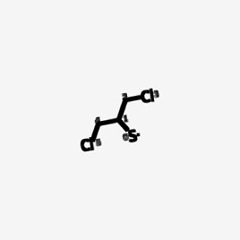 [S]C(CCl)CCl